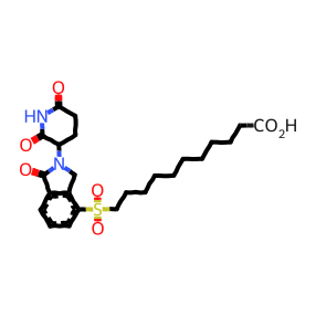 O=C(O)CCCCCCCCCCS(=O)(=O)c1cccc2c1CN(C1CCC(=O)NC1=O)C2=O